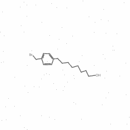 OCCCCCCCCc1ccc(CBr)cc1